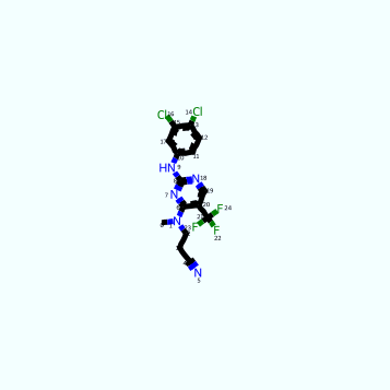 CN(CCC#N)c1nc(Nc2ccc(Cl)c(Cl)c2)ncc1C(F)(F)F